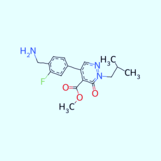 COC(=O)c1c(-c2ccc(CN)c(F)c2)cnn(CC(C)C)c1=O